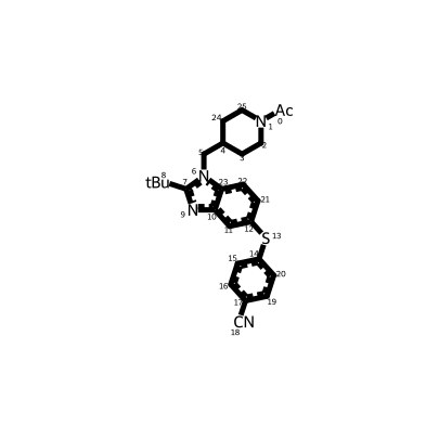 CC(=O)N1CCC(Cn2c(C(C)(C)C)nc3cc(Sc4ccc(C#N)cc4)ccc32)CC1